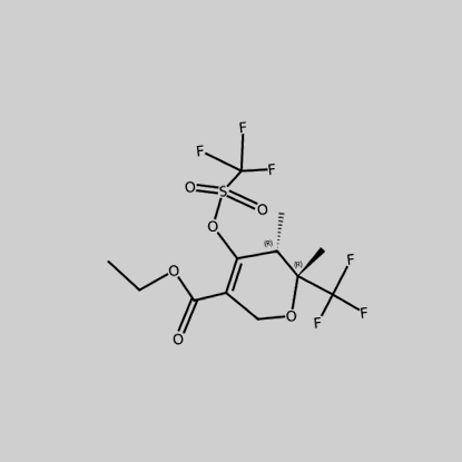 CCOC(=O)C1=C(OS(=O)(=O)C(F)(F)F)[C@H](C)[C@](C)(C(F)(F)F)OC1